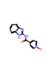 O=C(Nc1nc2ccccc2[nH]1)c1cc[n+]([O-])cc1